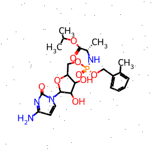 Cc1ccccc1CO[P@](=O)(N[C@@H](C)C(=O)OC(C)C)OCC1OC(n2ccc(N)nc2=O)C(O)C1O